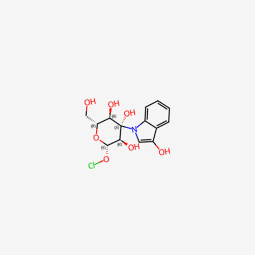 OC[C@H]1O[C@@H](OCl)[C@H](O)[C@](O)(n2cc(O)c3ccccc32)[C@@H]1O